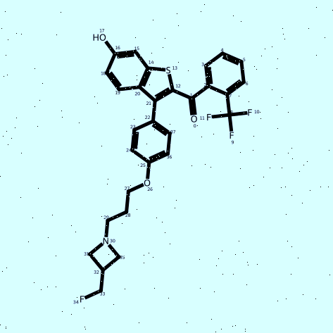 O=C(c1ccccc1C(F)(F)F)c1sc2cc(O)ccc2c1-c1ccc(OCCCN2CC(CF)C2)cc1